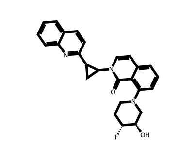 O=c1c2c(N3CC[C@@H](F)[C@H](O)C3)cccc2ccn1C1CC1c1ccc2ccccc2n1